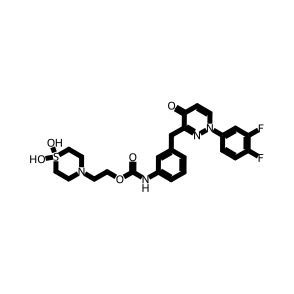 O=C(Nc1cccc(Cc2nn(-c3ccc(F)c(F)c3)ccc2=O)c1)OCCN1CCS(O)(O)CC1